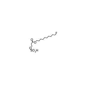 O=C(CCOS(=O)(=O)O)OCCCCCCCCCCF